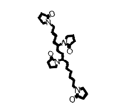 O=C1CCCN1CCCCCCC(CCC(CCCCN1CCCC1=O)N1CCCC1=O)N1CCCC1=O